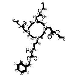 CCOC(=O)CN1CCN(CCCNC(=O)OCc2ccccc2)CCN(CC(=O)OCC)CCN(CC(=O)OCC)CC1